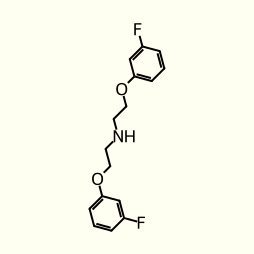 Fc1cccc(OCCNCCOc2cccc(F)c2)c1